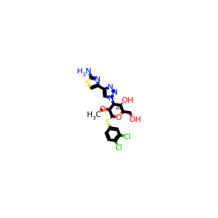 COC1C(n2cc(-c3csc(N)n3)nn2)[C@@H](O)C(CO)O[C@@H]1Sc1ccc(Cl)c(Cl)c1